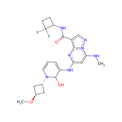 CNc1cc(NC2=CC=CN([C@H]3C[C@H](OC)C3)C2O)nc2c(C(=O)NC3CCC3(F)F)cnn12